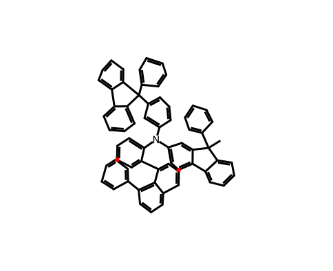 CC1(c2ccccc2)c2ccccc2-c2ccc(N(c3cccc(C4(c5ccccc5)c5ccccc5-c5ccccc54)c3)c3ccccc3-c3cccc4cccc(-c5ccccc5)c34)cc21